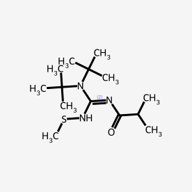 CSN/C(=N\C(=O)C(C)C)N(C(C)(C)C)C(C)(C)C